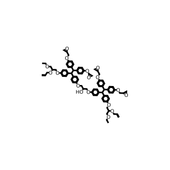 C=CCOC(COCC)COc1ccc(C(c2ccc(OCC(O)COc3ccc(C(c4ccc(OCC(COCC)OCC=C)cc4)C(c4ccc(OCC5CO5)cc4)c4ccc(OC5CO5)cc4)cc3)cc2)C(c2ccc(OCC3CO3)cc2)c2ccc(OCC3CO3)cc2)cc1